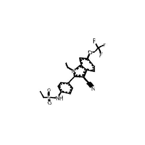 CCn1c(-c2ccc(NS(=O)(=O)CC)cc2)c(C#N)c2ccc(OC(F)(F)F)cc21